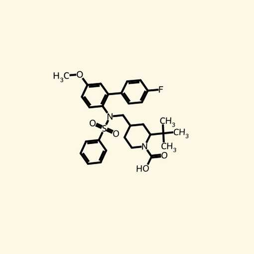 COc1ccc(N(CC2CCN(C(=O)O)C(C(C)(C)C)C2)S(=O)(=O)c2ccccc2)c(-c2ccc(F)cc2)c1